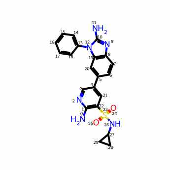 Nc1ncc(-c2ccc3nc(N)n(-c4ccccc4)c3c2)cc1S(=O)(=O)NC1CC1